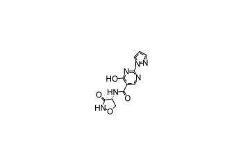 O=C(N[C@@H]1CONC1=O)c1cnc(-n2cccn2)nc1O